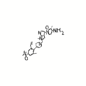 Cc1cc(C(=O)N(C)C)cc(F)c1C1=CCN(Cc2cc3c(-n4ccc(N)c(C)c4=O)ccnc3n2C)CC1